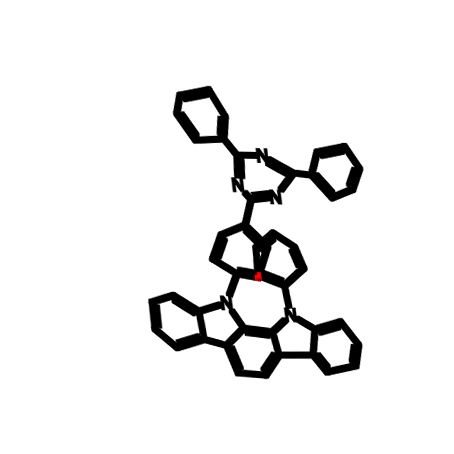 c1ccc(-c2nc(-c3ccccc3)nc(-c3ccc(-n4c5ccccc5c5ccc6c7ccccc7n(-c7ccccc7)c6c54)cc3)n2)cc1